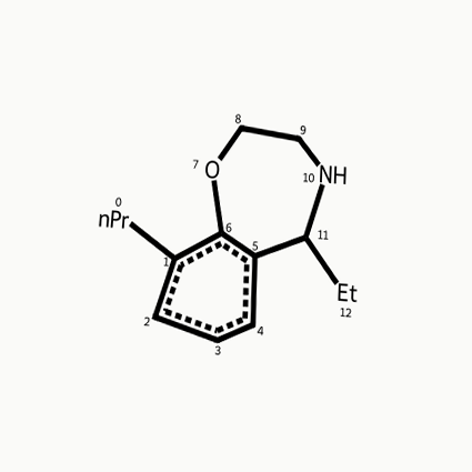 CCCc1cccc2c1OCCNC2CC